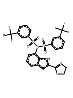 O=S(=O)(c1cccc(C(F)(F)F)c1)N(c1cccc2cc(C3=NCCS3)[nH]c12)S(=O)(=O)c1cccc(C(F)(F)I)c1